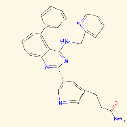 NC(=O)CCc1cncc(-c2nc(NCc3ccccn3)c3c(-c4ccccc4)cccc3n2)c1